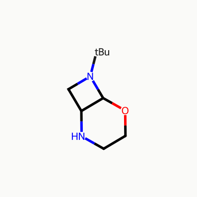 CC(C)(C)N1CC2NCCOC21